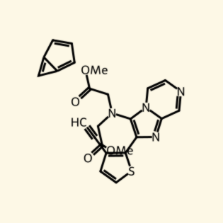 C#Cc1ccsc1-c1nc2cnccn2c1N(CC(=O)OC)CC(=O)OC.c1cc2cc-2c1